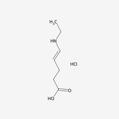 CCNC=CCCC(=O)O.Cl